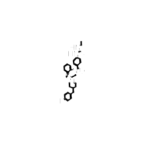 CCNC(=S)Nc1ccc(C(=O)N(CCN2CCC(C(=O)c3ccc(F)cc3)CC2)c2ccccc2OC)cc1